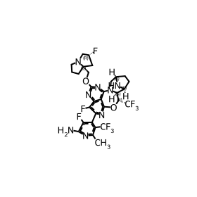 Cc1nc(N)c(F)c(-c2nc3c4c(nc(OC[C@@]56CCCN5C[C@H](F)C6)nc4c2F)N2C[C@H]4CC[C@H](N4)[C@H]2[C@H](C(F)(F)F)O3)c1C(F)(F)F